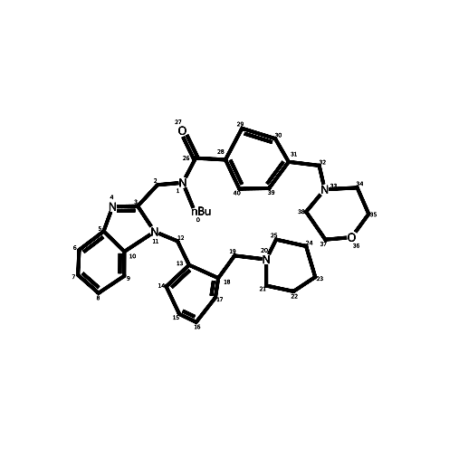 CCCCN(Cc1nc2ccccc2n1Cc1ccccc1CN1CCCCC1)C(=O)c1ccc(CN2CCOCC2)cc1